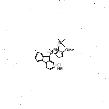 COC1=CC[C]([Zr]([CH3])([CH3])(=[SiH2])[CH]2c3ccccc3-c3ccccc32)=C1O[Si](C)(C)C.Cl.Cl